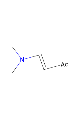 CC(=O)/C=C/N(C)C